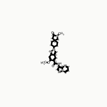 COc1cc2nn(C3CCC4(CC3)CC(=O)N(C)C4)cc2cc1C(=O)Nc1cnn2cccnc12